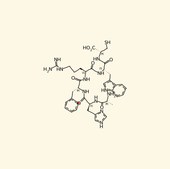 C[C@@H](N)C(=O)N[C@@H](Cc1c[nH]cn1)C(=O)N[C@H](Cc1ccccc1)C(=O)N[C@@H](CCCNC(=N)N)C(=O)N[C@@H](Cc1c[nH]c2ccccc12)C(=O)N[C@@H](CS)C(=O)O